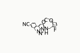 Cc1cc(C#N)ccc1-c1cc2c(n3cnnc13)NCc1c(F)ccc(c1C)OCCO2